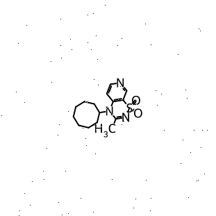 CC1=NS(=O)(=O)c2cnccc2N1C1CCCCCCC1